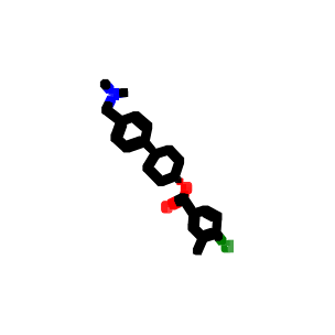 Cc1cc(C(=O)O[C@H]2CC[C@H](c3ccc(CN(C)C)cc3)CC2)ccc1Cl